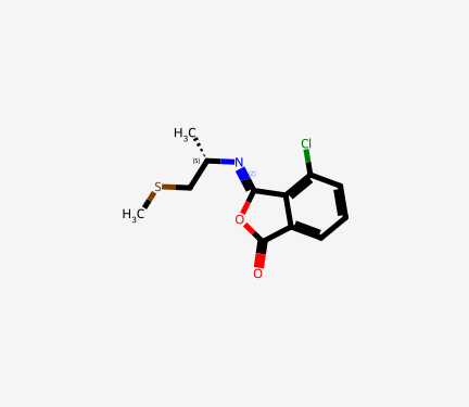 CSC[C@H](C)/N=C1\OC(=O)c2cccc(Cl)c21